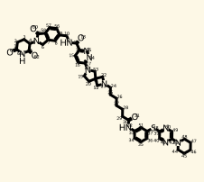 O=C1CCC(N2Cc3cc(CNC(=O)c4ccc(N5CCC6(CN(CCCCCCC(=O)Nc7cccc(Sc8cnc(N9CCCCC9)cn8)c7)C6)C5)nn4)ccc3C2=O)C(=O)N1